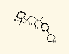 C[C@@H](c1ccc(C2CCNCC2)cc1)N1CCC(CC(C)(C)O)(c2ccccc2)OC1=O